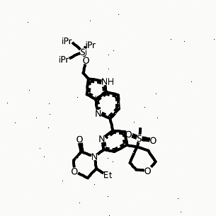 CCC1COCC(=O)N1c1cc(C2(S(C)(=O)=O)CCOCC2)cc(-c2ccc3[nH]c(CO[Si](C(C)C)(C(C)C)C(C)C)cc3n2)n1